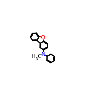 CN(c1ccc2oc3ccccc3c2c1)C1C=CC=CC1